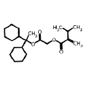 C=C(C(=O)OCC(=O)OC(C)(C1CCCCC1)C1CCCCC1)C(C)C